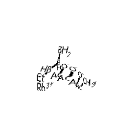 BBBCC.CC(=O)[O-].CC(=O)[O-].CC(=O)[O-].CC(C)=O.[Rh+3]